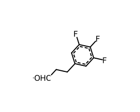 O=[C]CCc1cc(F)c(F)c(F)c1